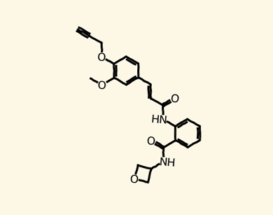 C#CCOc1ccc(C=CC(=O)Nc2ccccc2C(=O)NC2COC2)cc1OC